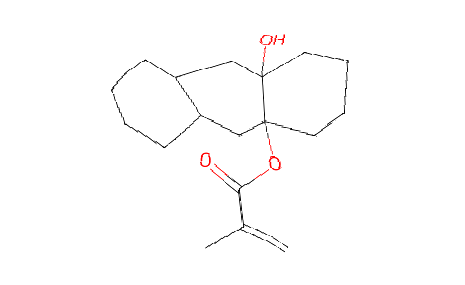 C=C(C)C(=O)OC12CCCCC1(O)CC1CCCCC1C2